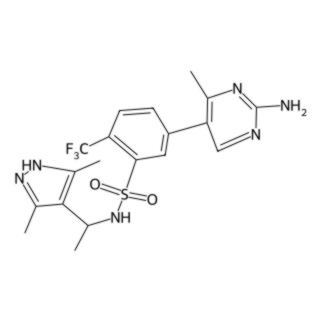 Cc1nc(N)ncc1-c1ccc(C(F)(F)F)c(S(=O)(=O)NC(C)c2c(C)n[nH]c2C)c1